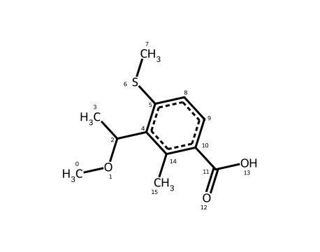 COC(C)c1c(SC)ccc(C(=O)O)c1C